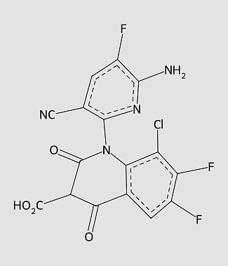 N#Cc1cc(F)c(N)nc1N1C(=O)C(C(=O)O)C(=O)c2cc(F)c(F)c(Cl)c21